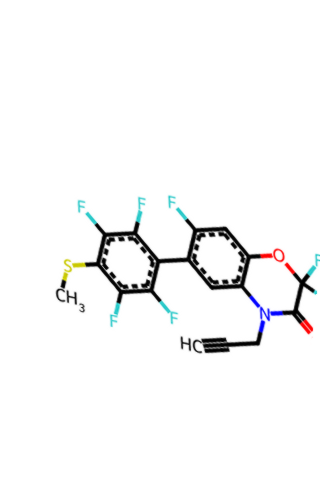 C#CCN1C(=O)C(F)(F)Oc2cc(F)c(-c3c(F)c(F)c(SC)c(F)c3F)cc21